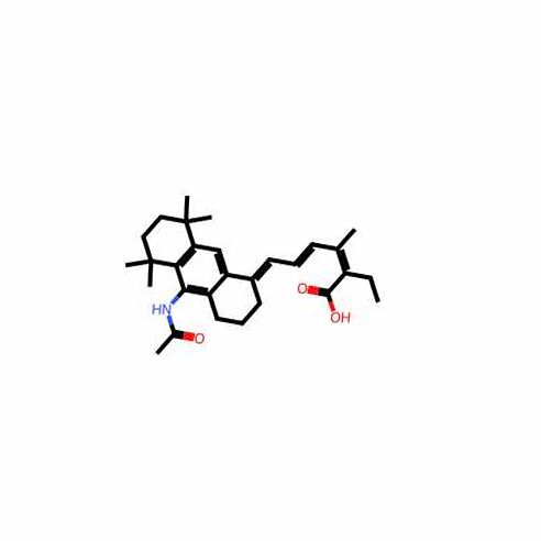 CCC(C(=O)O)=C(C)C=CC=C1CCCc2c1cc1c(c2NC(C)=O)C(C)(C)CCC1(C)C